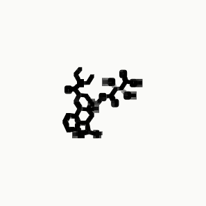 CCN(CC)C(=O)C1C=C2c3cccc4[nH]c(Br)c(c34)C[C@H]2N(COC(=O)[C@H](O)[C@@H](O)C(=O)O)C1